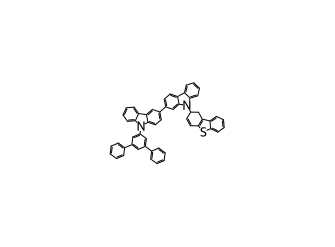 C1=CC(n2c3ccccc3c3ccc(-c4ccc5c(c4)c4ccccc4n5-c4cc(-c5ccccc5)cc(-c5ccccc5)c4)cc32)Cc2c1sc1ccccc21